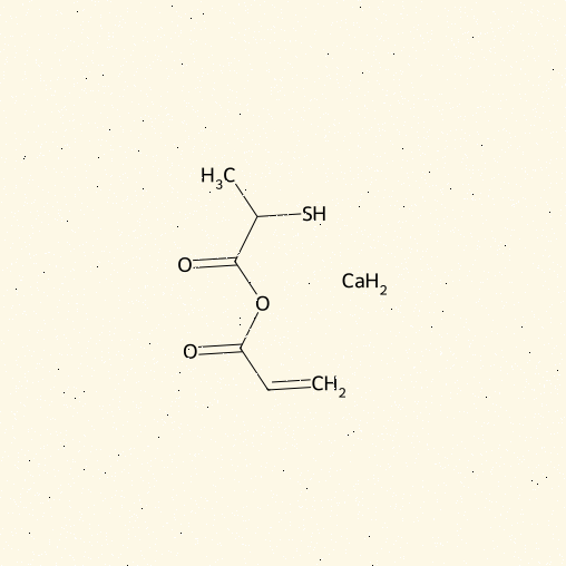 C=CC(=O)OC(=O)C(C)S.[CaH2]